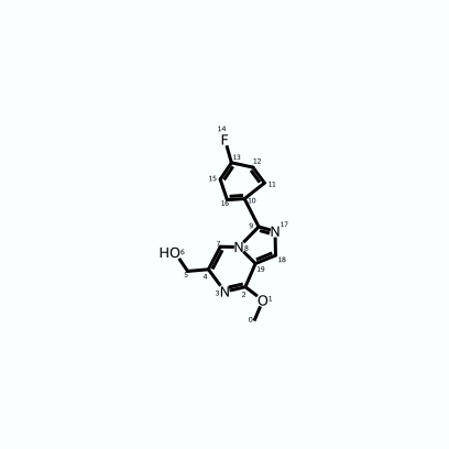 COc1nc(CO)cn2c(-c3ccc(F)cc3)ncc12